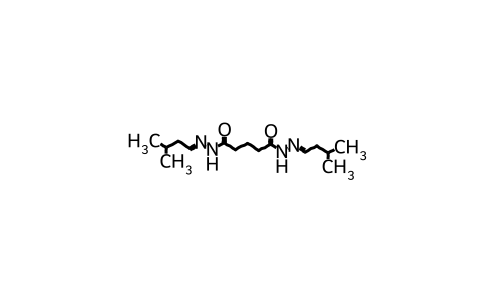 CC(C)C/C=N/NC(=O)CCCC(=O)N/N=C/CC(C)C